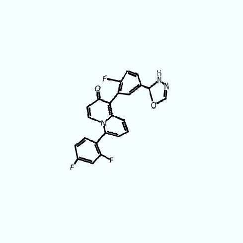 O=c1ccn2c(-c3ccc(F)cc3F)cccc2c1-c1cc(C2NN=CO2)ccc1F